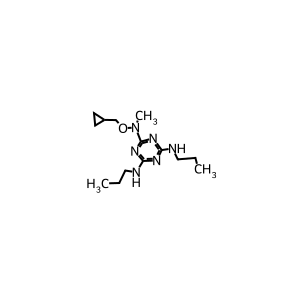 CCCNc1nc(NCCC)nc(N(C)OCC2CC2)n1